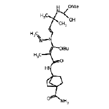 C=NN(/C=C/C(C)(C)NC(O)OC)/C(OCC(C)C)=C(\C)C(=O)NC12CCC(C(N)=O)(CC1)C2